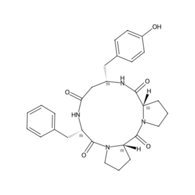 O=C1C[C@H](Cc2ccc(O)cc2)NC(=O)[C@@H]2CCCN2C(=O)[C@@H]2CCCN2C(=O)[C@H](Cc2ccccc2)N1